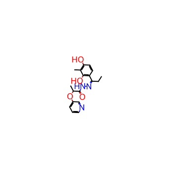 CCC(=NNC(=O)C(C)Oc1cccnc1)c1ccc(O)c(C)c1O